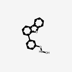 OBOc1cccc(-c2cccc3c2oc2ccccc23)c1